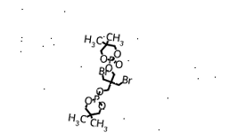 CC1(C)COP(OCC(CBr)(CBr)COP2(=O)OCC(C)(C)CO2)OC1